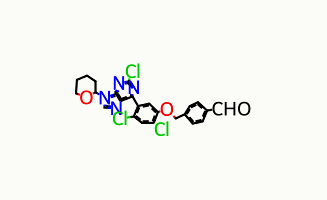 O=Cc1ccc(COc2cc(-c3nc(Cl)nc4c3ncn4C3CCCCO3)c(Cl)cc2Cl)cc1